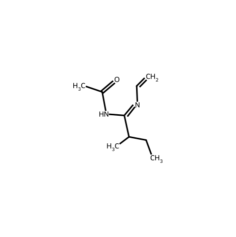 C=C/N=C(\NC(C)=O)C(C)CC